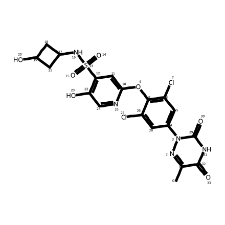 Cc1nn(-c2cc(Cl)c(Oc3cc(S(=O)(=O)NC4CC(O)C4)c(O)cn3)c(Cl)c2)c(=O)[nH]c1=O